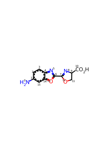 Nc1ccc2nc(C3=NC(C(=O)O)CO3)oc2c1